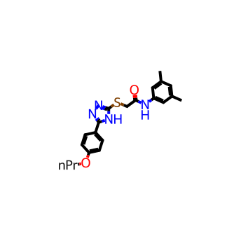 CCCOc1ccc(-c2nnc(SCC(=O)Nc3cc(C)cc(C)c3)[nH]2)cc1